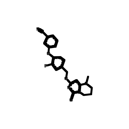 CN1CCCn2c1cc(OCc1ccc(Oc3cccc(C#N)c3)c(F)c1)nc2=O